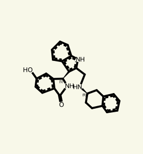 O=C1N[C@H](c2c(CN[C@@H]3CCc4ccccc4C3)[nH]c3ccccc23)c2cc(O)ccc21